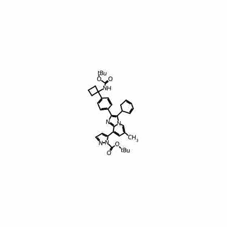 Cc1cc(-c2ccnn2C(=O)OC(C)(C)C)c2nc(-c3ccc(C4(NC(=O)OC(C)(C)C)CCC4)cc3)c(C3C=CC=CC3)n2c1